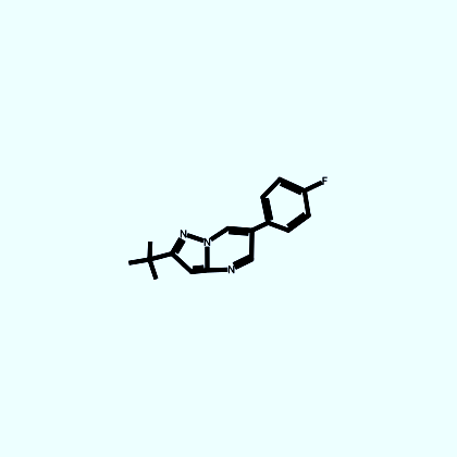 CC(C)(C)c1cc2ncc(-c3ccc(F)cc3)cn2n1